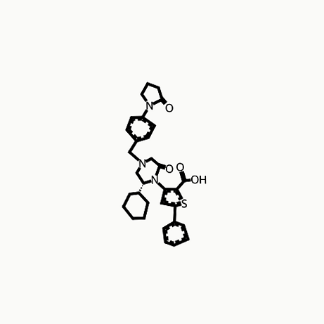 O=C(O)c1sc(-c2ccccc2)cc1N1C(=O)CN(Cc2ccc(N3CCCC3=O)cc2)C[C@H]1C1CCCCC1